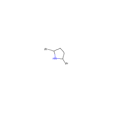 CC(C)C1CCC(C(C)C)N1